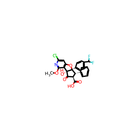 COc1nc(Cl)cc2c1[C@]1(O)C(=O)[C@H](C(=O)O)[C@@H](c3ccccc3)[C@]1(c1ccc(C(F)F)cc1)O2